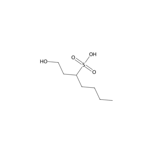 CCCCC(CCO)S(=O)(=O)O